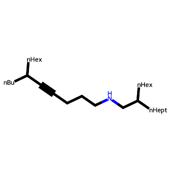 CCCCCCCC(CCCCCC)CNCCCC#CC(CCCC)CCCCCC